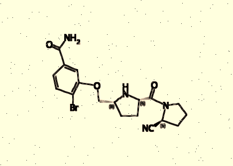 N#C[C@@H]1CCCN1C(=O)[C@@H]1CC[C@H](COc2cc(C(N)=O)ccc2Br)N1